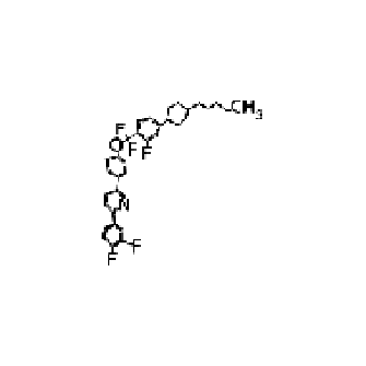 CCCCCC1CCC(c2ccc(C(F)(F)Oc3ccc(-c4ccc(-c5ccc(F)c(F)c5)nc4)cc3)c(F)c2)CC1